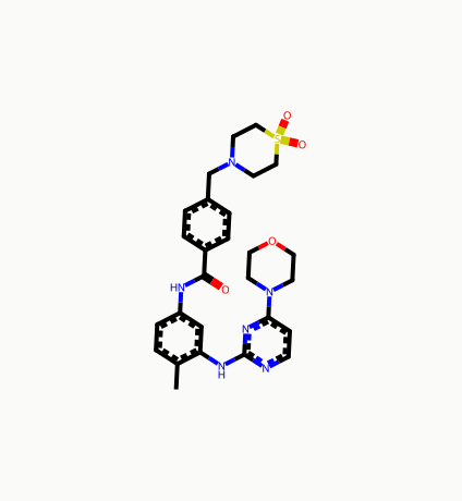 Cc1ccc(NC(=O)c2ccc(CN3CCS(=O)(=O)CC3)cc2)cc1Nc1nccc(N2CCOCC2)n1